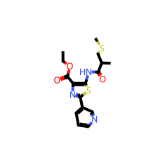 CCOC(=O)c1nc(-c2cccnc2)sc1NC(=O)C(C)CSC